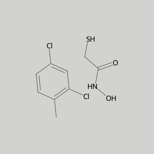 Cc1ccc(Cl)cc1Cl.O=C(CS)NO